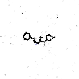 CN1CCC(NC(=N)/C=C\Nc2ccccc2)C1